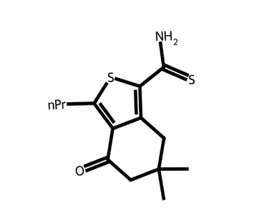 CCCc1sc(C(N)=S)c2c1C(=O)CC(C)(C)C2